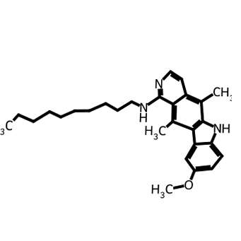 CCCCCCCCCCNc1nccc2c(C)c3[nH]c4ccc(OC)cc4c3c(C)c12